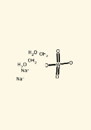 O.O.O.O.[Na+].[Na+].[O]=[W](=[O])([O-])[O-]